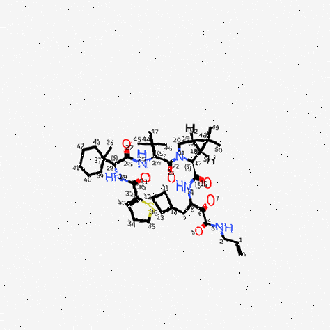 C=CCNC(=O)C(=O)C(CC1CCC1)NC(=O)[C@@H]1[C@@H]2[C@H](CN1C(=O)[C@@H](NC(=O)[C@@H](NC(=O)C1=CCCS1)C1(C)CCCCC1)C(C)(C)C)C2(C)C